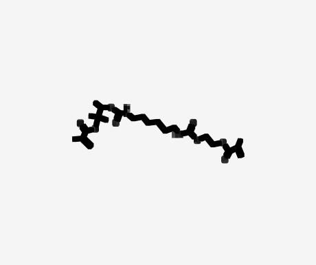 C=C(C)C(=O)OCCOC(=O)NCCCCCCNC(=O)OC(C)C(C)(C)OC(=O)C(=C)C